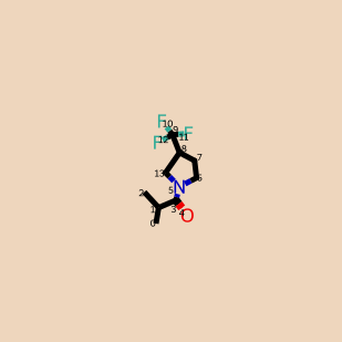 CC(C)C(=O)N1CCC(C(F)(F)F)C1